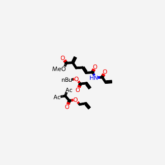 C=CC(=O)NC(=O)C=CCC(=C)C(=O)OC.C=CC(=O)OCCCC.C=CCOC(=O)C(C(C)=O)C(C)=O